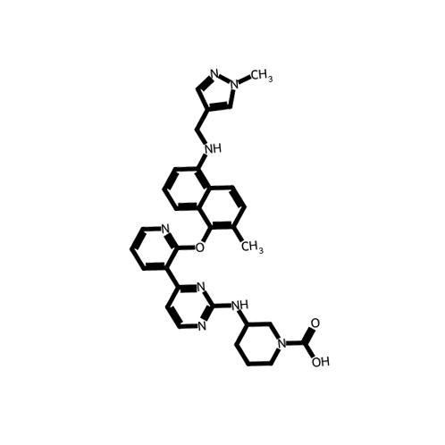 Cc1ccc2c(NCc3cnn(C)c3)cccc2c1Oc1ncccc1-c1ccnc(NC2CCCN(C(=O)O)C2)n1